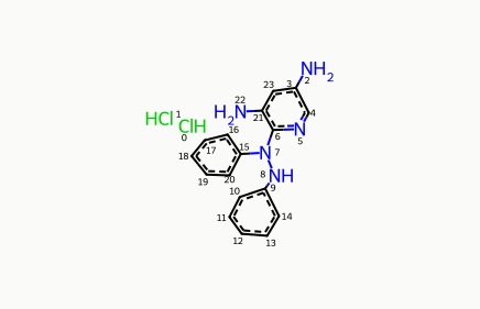 Cl.Cl.Nc1cnc(N(Nc2ccccc2)c2ccccc2)c(N)c1